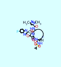 Cc1cc(C(=O)N[C@H]2CCCCC/C=C\[C@@H]3C[C@@]3(C(=O)NS(=O)(=O)C3CC3)NC(=O)[C@@H]3C[C@@H](Oc4nc5cc(F)ccc5nc4C)CN3C2=O)n(C)n1